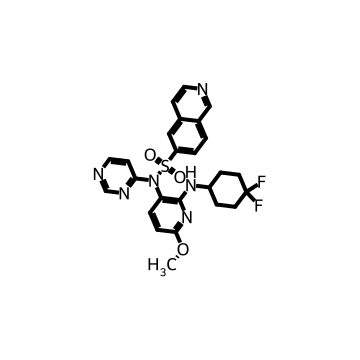 COc1ccc(N(c2ccncn2)S(=O)(=O)c2ccc3cnccc3c2)c(NC2CCC(F)(F)CC2)n1